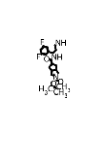 CC(C)(C)OC(=O)N1CC2CC(C(=O)NC(CC=N)c3cc(F)cc(F)c3)CC2C1